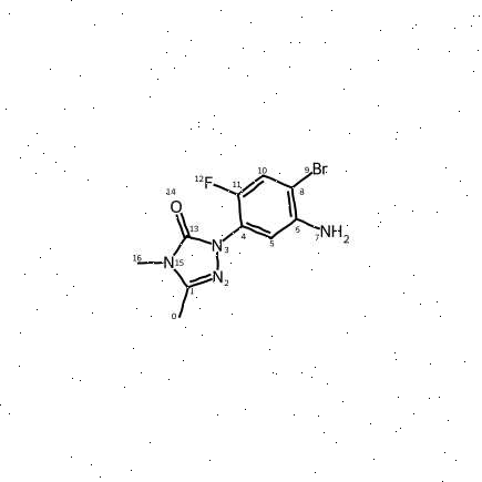 Cc1nn(-c2cc(N)c(Br)cc2F)c(=O)n1C